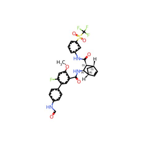 COc1cc(F)c(-c2ccc(NC=O)cc2)cc1C(=O)N[C@H]1[C@@H](C(=O)Nc2cccc(S(=O)(=O)C(F)(F)F)c2)[C@@H]2C=C[C@H]1C2